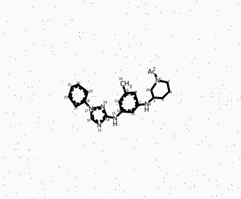 CC(=O)N1CCCC(Nc2cc(C)cc(Nc3ncn(-c4ccccc4)n3)c2)C1